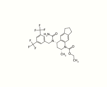 CCOC(=O)N1c2cc3c(cc2[C@@H](N(Cc2cc(C(F)(F)F)cc(C(F)(F)F)c2)C(N)=O)C[C@H]1C)CCC3